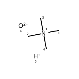 C[N+](C)(C)C.[H+].[O-2]